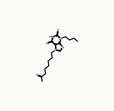 CCCCn1c(=O)[nH]c(=O)c2c1ncn2CCCCCCC(C)=O